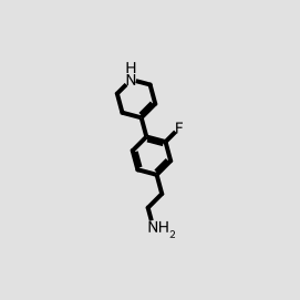 NCCc1ccc(C2=CCNCC2)c(F)c1